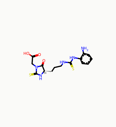 Nc1ccccc1NC(=S)NCCC[C@@H]1NC(=S)N(CC(=O)O)C1=O